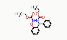 CCOC(=O)N1Oc2ccccc2C(c2ccccc2)N1C(=O)OCC